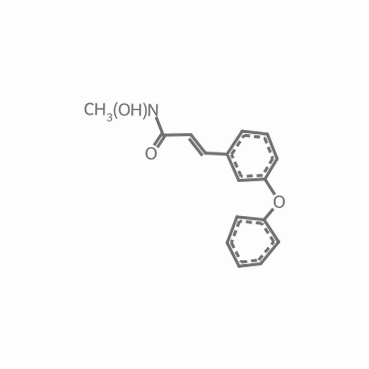 CN(O)C(=O)C=Cc1cccc(Oc2ccccc2)c1